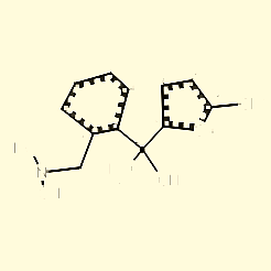 CN(C)Cc1ccccc1C(C)(O)c1ccc(Cl)s1